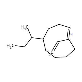 C=C/C1=C\CCC(C(C)CC)CCCC1